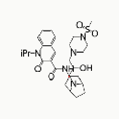 CC(C)n1c(=O)c(C(=O)NC2CC3CCC(C2)N3CC(O)CN2CCN(S(C)(=O)=O)CC2)cc2ccccc21